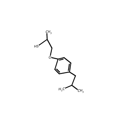 CC(C)Cc1ccc(OCC(C)S)cc1